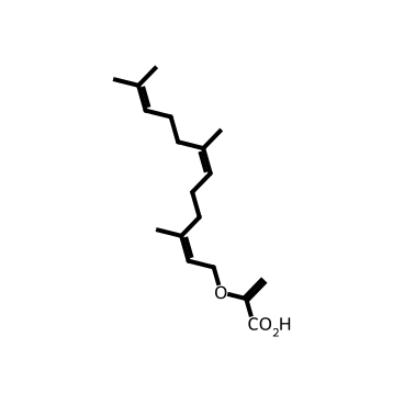 C=C(OCC=C(C)CCC=C(C)CCC=C(C)C)C(=O)O